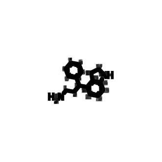 NCCC(c1ccccc1)c1cccc2c1CCN2